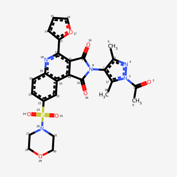 CC(=O)n1nc(C)c(N2C(=O)c3c(-c4ccco4)nc4ccc(S(=O)(=O)N5CCOCC5)cc4c3C2=O)c1C